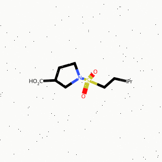 CC(C)CCS(=O)(=O)N1CCC(C(=O)O)C1